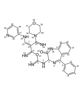 N=C(NC1N=C(c2ccccc2)c2ccccc2NC1=O)OC(=N)/C(=C/Nc1cccnc1)C(=N)N1CCOCC1